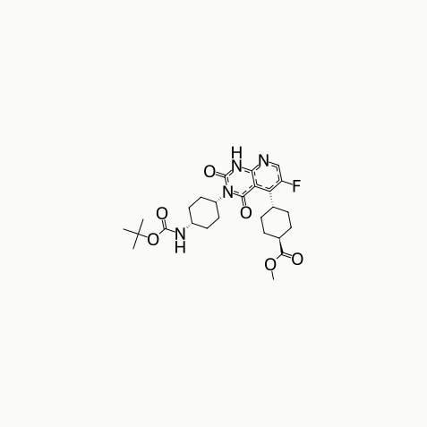 COC(=O)[C@H]1CC[C@H](c2c(F)cnc3[nH]c(=O)n([C@H]4CC[C@@H](NC(=O)OC(C)(C)C)CC4)c(=O)c32)CC1